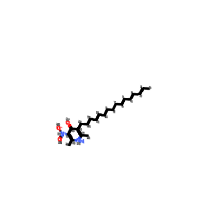 CCCCCCCCCCCCCCCCc1c(C)[nH]c(C)c([N+](=O)[O-])c1=O